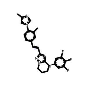 Cc1cn(-c2ccc(/C=C/c3nc4n(n3)CCC[C@@H]4c3cc(F)c(F)c(F)c3)cc2C)cn1